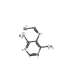 CCC(C)/C=N\c1c(C)ncnc1N